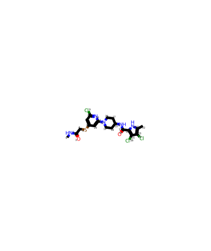 CNC(=O)CSc1cc(Cl)nc(N2CCC(NC(=O)c3[nH]c(C)c(Cl)c3Cl)CC2)c1